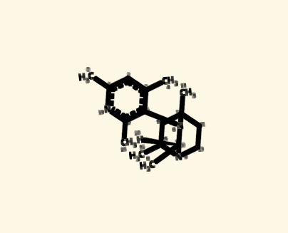 Cc1cc(C)c(N2[C@@H](C)N3CCC2(C)CC3C)c(C)n1